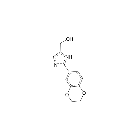 OCc1cnc(-c2ccc3c(c2)OCCO3)[nH]1